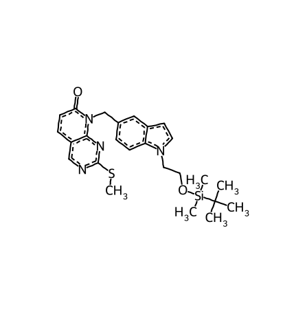 CSc1ncc2ccc(=O)n(Cc3ccc4c(ccn4CCO[Si](C)(C)C(C)(C)C)c3)c2n1